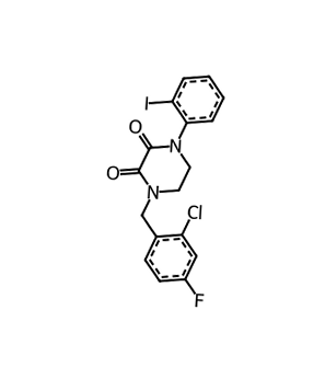 O=C1C(=O)N(c2ccccc2I)CCN1Cc1ccc(F)cc1Cl